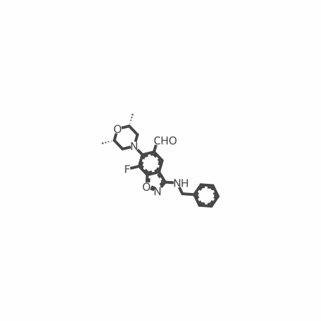 C[C@@H]1CN(c2c(C=O)cc3c(NCc4ccccc4)noc3c2F)C[C@H](C)O1